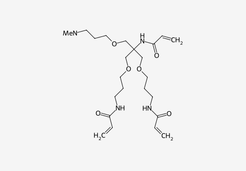 C=CC(=O)NCCCOCC(COCCCNC)(COCCCNC(=O)C=C)NC(=O)C=C